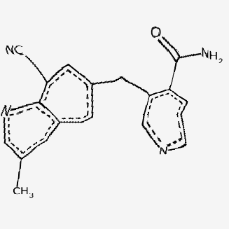 Cc1cnc2c(C#N)cc(Cc3cnccc3C(N)=O)cc2c1